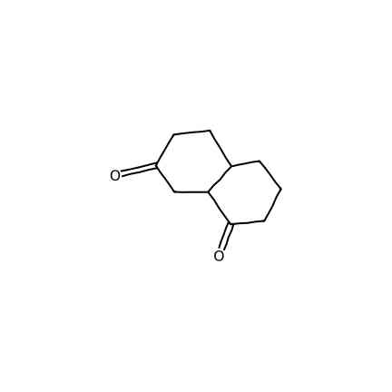 O=C1CCC2CCCC(=O)C2C1